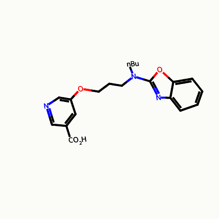 CCCCN(CCCOc1cncc(C(=O)O)c1)c1nc2ccccc2o1